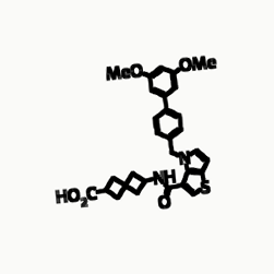 COc1cc(OC)cc(-c2ccc(Cn3ccc4scc(C(=O)NC5CC6(C5)CC(C(=O)O)C6)c43)cc2)c1